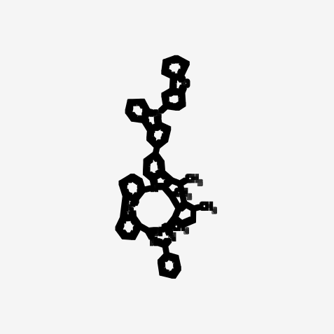 CC1C=CC2(C)C3=C1C(C)c1c(n(c4ccc(-c5ccc6c(c5)c5ccccc5n6-c5ccc6oc7ccccc7c6c5)cc14)-c1cccc4c1sc1c(cccc14)-c1nc(-c4ccccc4)nc2n1)C3C